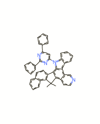 CC1(C)c2c(ccc3ccccc23)-c2c1c1ccncc1c1c3ccccc3n(-c3cc(-c4ccccc4)nc(-c4ccccc4)n3)c21